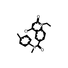 CCn1c(=O)cc(Cl)c2cc(C(=O)N(C)c3ccc(C)cc3)ccc21